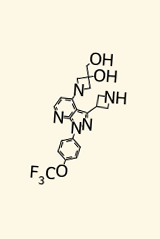 OCC1(O)CN(c2ccnc3c2c(C2CNC2)nn3-c2ccc(OC(F)(F)F)cc2)C1